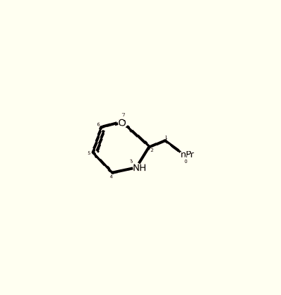 CCCCC1NCC=CO1